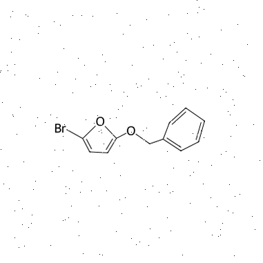 Brc1ccc(OCc2ccccc2)o1